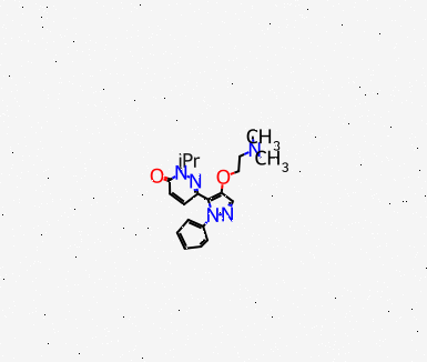 CC(C)n1nc(-c2c(OCCN(C)C)cnn2-c2ccccc2)ccc1=O